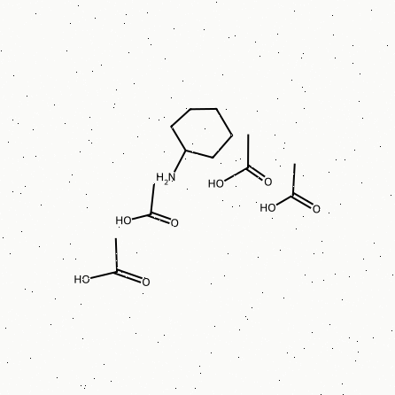 CC(=O)O.CC(=O)O.CC(=O)O.CC(=O)O.NC1CCCCC1